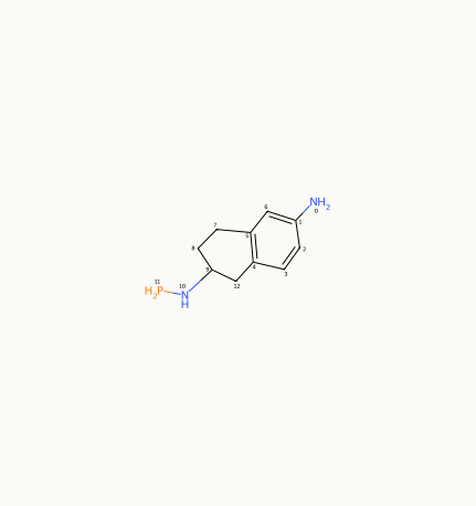 Nc1ccc2c(c1)CCC(NP)C2